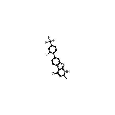 Cc1cc(=O)c2c([nH]1)sc1cc(-c3ccc(C(F)(F)F)cc3F)ccc12